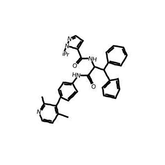 Cc1ccnc(C)c1-c1ccc(NC(=O)C(NC(=O)c2ccnn2C(C)C)C(c2ccccc2)c2ccccc2)cc1